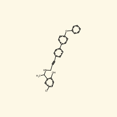 CC(NCC#Cc1ccc(-c2ccc(Oc3ccccc3)cc2)cc1)c1cc(Cl)ccc1O